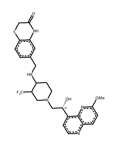 COc1ccc2nccc([C@@H](O)CN3CCC(NCc4ccc5c(c4)NC(=O)CS5)C(C(F)(F)F)C3)c2n1